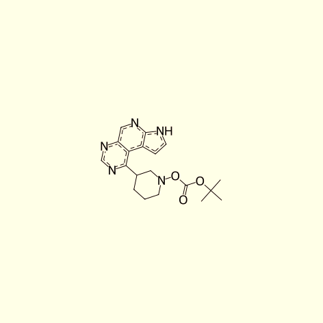 CC(C)(C)OC(=O)ON1CCCC(c2ncnc3cnc4[nH]ccc4c23)C1